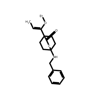 CC=C(OCC)C12CCC(NCc3ccccc3)(CC1)CC2=O